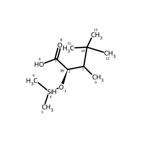 CC([C@@H](O[SiH](C)C)C(=O)O)C(C)(C)C